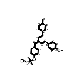 CCOC(C)(C)Oc1ccc(C=C(C=Cc2ccc(C)cc2)C=Cc2ccc(O)cc2)cc1